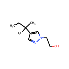 CCC(C)(C)c1cnn(CCO)c1